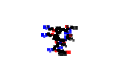 CC(=O)N[C@@H](CCO)C(=O)N[C@@H](CCN)C(=O)N(C)[C@@H]1C(=O)N[C@@H](C)C(=O)N[C@H](C(=O)NCC#N)Cc2ccc(OCCN)c(c2)-c2cc1ccc2OCCN